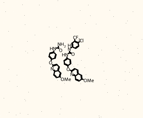 COc1ccc2nc(Oc3ccc(NC(=O)Nc4ccc(Cl)c(C(F)(F)F)c4)cc3)ccc2c1.COc1ccc2nc(Oc3ccc(NC(N)=O)cc3)ccc2c1